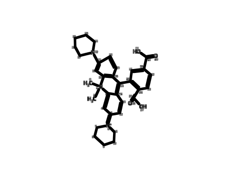 C[Si]1(C)C2=CC(=[N+]3CCCCC3)C=CC2=C(c2cc(C(=O)O)ccc2C(=O)O)c2ccc(N3CCCCC3)cc21